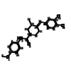 COc1ccc(NC(=O)N2CC/C(=C\c3ccc(Cl)c(Cl)c3)C(C)C2)cn1